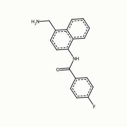 NCc1ccc(NC(=O)c2ccc(F)cc2)c2ccccc12